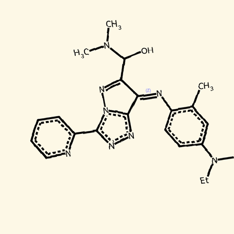 CCN(CC)c1ccc(/N=C2/C(C(O)N(C)C)=Nn3c2nnc3-c2ccccn2)c(C)c1